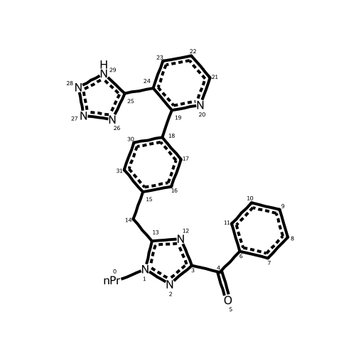 CCCn1nc(C(=O)c2ccccc2)nc1Cc1ccc(-c2ncccc2-c2nnn[nH]2)cc1